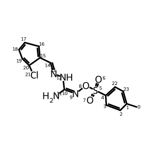 Cc1ccc(S(=O)(=O)ON=C(N)NN=Cc2ccccc2Cl)cc1